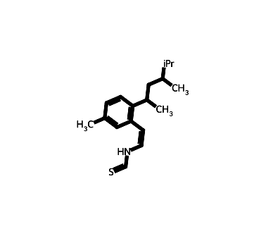 Cc1ccc(C(C)CC(C)C(C)C)c(/C=C\NC=S)c1